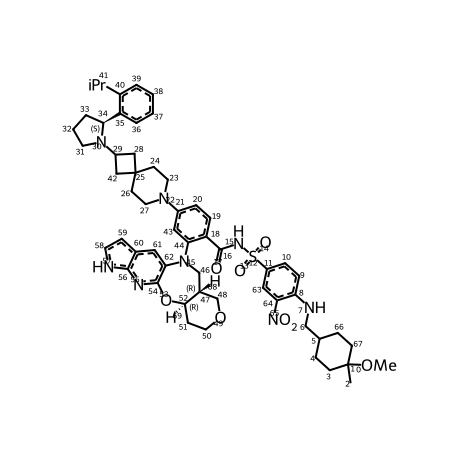 COC1(C)CCC(CNc2ccc(S(=O)(=O)NC(=O)c3ccc(N4CCC5(CC4)CC(N4CCC[C@H]4c4ccccc4C(C)C)C5)cc3N3C[C@@H]4COCC[C@H]4Oc4nc5[nH]ccc5cc43)cc2[N+](=O)[O-])CC1